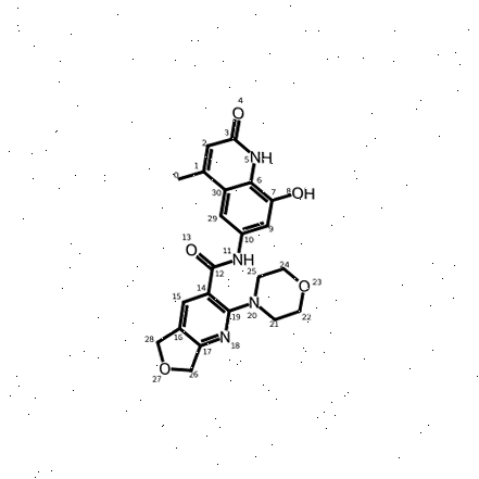 Cc1cc(=O)[nH]c2c(O)cc(NC(=O)c3cc4c(nc3N3CCOCC3)COC4)cc12